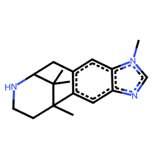 Cn1cnc2cc3c(cc21)CC1NCCC3(C)C1(C)C